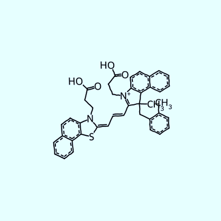 Cc1ccccc1CC1(C)C(/C=C/C=C2/Sc3c(ccc4ccccc34)N2CCC(=O)O)=[N+](CCC(=O)O)c2ccc3ccccc3c21